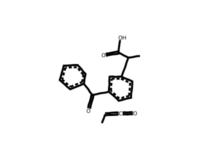 CC(C(=O)O)c1cccc(C(=O)c2ccccc2)c1.CC=C=O